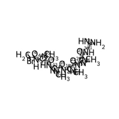 C=C(Br)C(=O)Nc1cc(C(=O)Nc2cc(C(=O)Nc3cc(C(=O)Nc4cc(C(=O)NCCC(=N)N)n(C)n4)n(C)c3)n(C)n2)n(C)c1